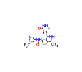 CC1CNC(C2CC(C(N)=O)C2)c2cc(C(=O)Nc3cncc(C(F)(F)F)c3)ccc21